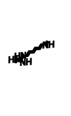 CNCCCCCCNC(=N)NC